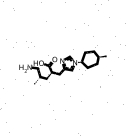 C[C@H](CN)C[C@H](Cc1cn([C@H]2CC[C@H](C)CC2)cn1)C(=O)O